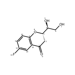 O=C1C[C@@H]([C@@H](O)CO)Oc2ccc(F)cc21